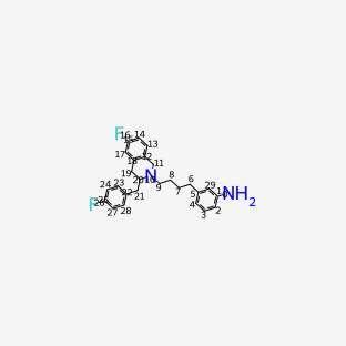 Nc1cccc(CCCCN2Cc3ccc(F)cc3CC2Cc2ccc(F)cc2)c1